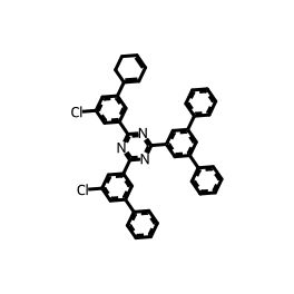 Clc1cc(C2=CC=CCC2)cc(-c2nc(-c3cc(Cl)cc(-c4ccccc4)c3)nc(-c3cc(-c4ccccc4)cc(-c4ccccc4)c3)n2)c1